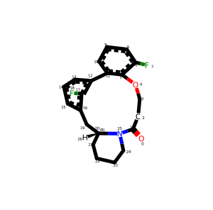 O=C1CCOc2c(F)cccc2-c2cccc(c2F)C[C@H]2CCCCN12